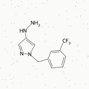 NNc1cnn(Cc2cccc(C(F)(F)F)c2)c1